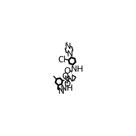 Cc1cc(S(=O)(=O)N2CC[C@H]2C(=O)Nc2ccc(N3CCN(C)CC3)c(Cl)c2)c2[nH]ncc2c1